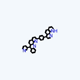 C1=Cc2ccc3c(-c4ccc(-c5ccc6ccc7c(-c8cccnc8)c8ccccc8nc7c6n5)cc4)ccnc3c2NC1